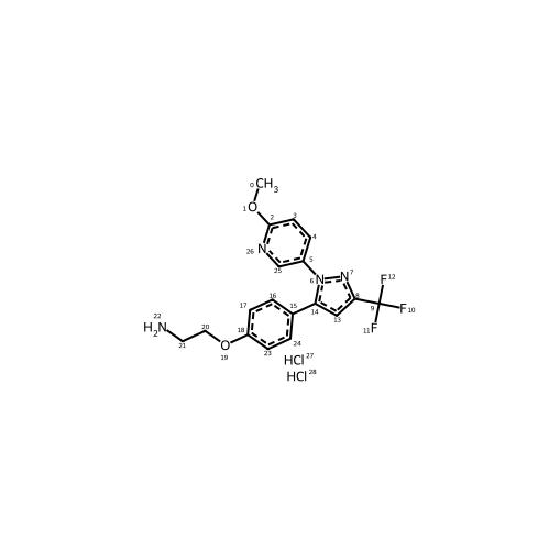 COc1ccc(-n2nc(C(F)(F)F)cc2-c2ccc(OCCN)cc2)cn1.Cl.Cl